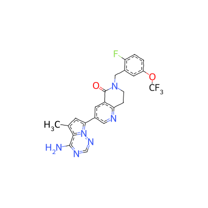 Cc1cc(-c2cnc3c(c2)C(=O)N(Cc2cc(OC(F)(F)F)ccc2F)CC3)n2ncnc(N)c12